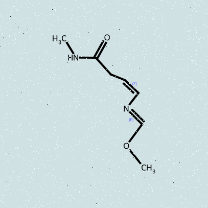 CNC(=O)C/C=C\N=C\OC